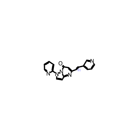 O=c1cc(/C=C/c2cccnc2)nc2ccn(-c3ccccn3)n12